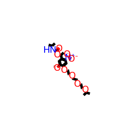 COc1cc(C(C)OC(=O)NC(C)C)c([N+](=O)[O-])cc1OCCOCCOCCOC(C)C